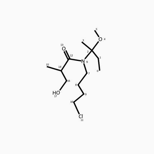 CCC(C)(OC)N(CCCCCl)C(=O)C(C)CO